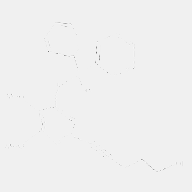 COc1cc(C#CCCCO)cc(O[Si](c2ccccc2)(c2ccccc2)C(C)(C)C)c1OC